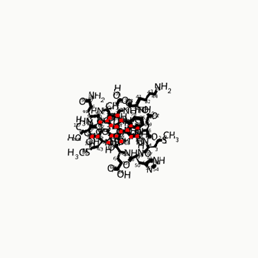 CSCC[C@H](NC(=O)[C@H](CCC(=O)O)NC(=O)[C@H](CO)NC(=O)[C@H](CC(C)C)NC(=O)[C@H](CC(=O)O)NC(=O)[C@@H](N)CCCCN)C(=O)N[C@@H](Cc1c[nH]cn1)C(=O)N[C@@H](CCC(=O)O)C(=O)N[C@@H](Cc1c[nH]c2ccccc12)C(=O)N[C@@H](CCSC)C(=O)N[C@H](C(=O)N[C@@H](CCC(N)=O)C(=O)N[C@@H](C)C(=O)N[C@@H](CCC(=O)O)C(=O)N[C@@H](CCC(=O)O)C(=O)O)[C@@H](C)O